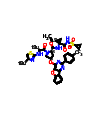 C=C[C@@H]1C[C@]1(NC(=O)[C@@H]1C[C@@H](Oc2nc(-c3ccc(C(F)(F)F)cc3)nc3c2oc2ccccc23)CN1C(=O)[C@@H](Nc1nc(C(C)(C)C)cs1)C(C)(C)C)C(=O)NS(=O)(=O)C1CC1